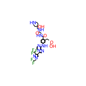 CCc1cc(Nc2nccn3c(-c4cn(CC(F)F)nc4C(F)(F)F)cnc23)ccc1C(=O)NCC(=O)NCC1(O)CCNCC1.O=CO